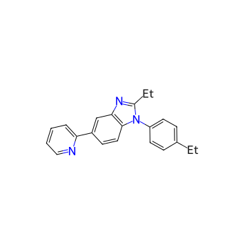 [CH2]Cc1ccc(-n2c(CC)nc3cc(-c4ccccn4)ccc32)cc1